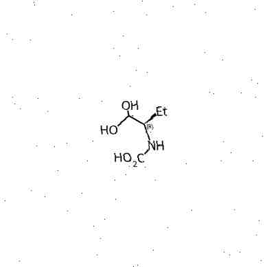 CC[C@@H](NC(=O)O)[C](O)O